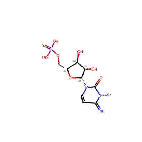 [2H]n1c(=N)ccn([C@@H]2O[C@H](COP(O)(O)=S)[C@@H](O)[C@H]2O)c1=O